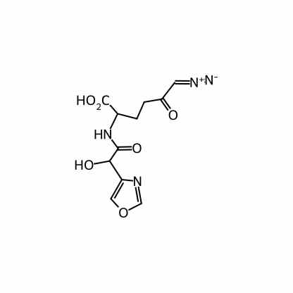 [N-]=[N+]=CC(=O)CCC(NC(=O)C(O)c1cocn1)C(=O)O